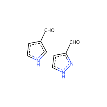 O=Cc1cc[nH]n1.O=[C]c1cc[nH]c1